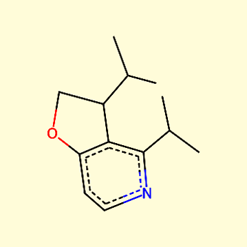 CC(C)c1nccc2c1C(C(C)C)CO2